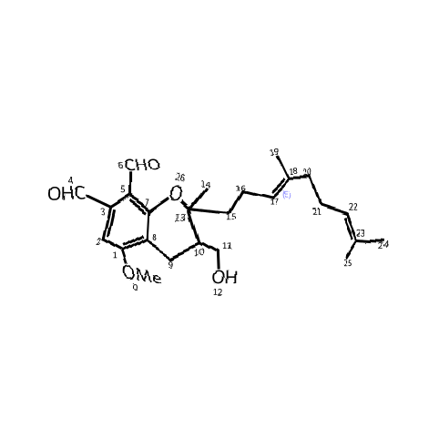 COc1cc(C=O)c(C=O)c2c1CC(CO)C(C)(CC/C=C(\C)CCC=C(C)C)O2